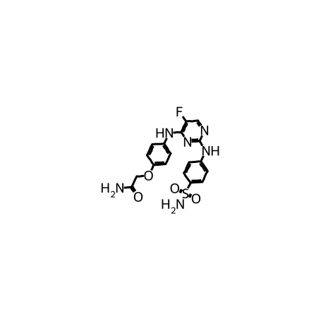 NC(=O)COc1ccc(Nc2nc(Nc3ccc(S(N)(=O)=O)cc3)ncc2F)cc1